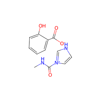 CNC(=O)[n+]1cc[nH]c1.O=C([O-])c1ccccc1O